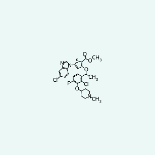 COC(=O)c1sc(-n2cnc3cc(Cl)ccc32)cc1OC(C)c1ccc(F)c(OC2CCN(C)CC2)c1Cl